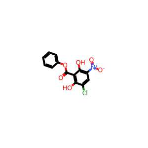 O=C(Oc1ccccc1)c1c(O)c(Cl)cc([N+](=O)[O-])c1O